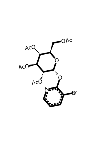 CC(=O)OC[C@H]1O[C@H](Oc2ncccc2Br)[C@H](OC(C)=O)[C@@H](OC(C)=O)[C@@H]1OC(C)=O